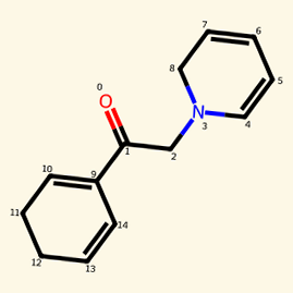 O=C(CN1C=CC=CC1)C1=CCCC=C1